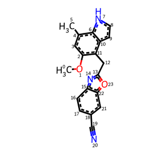 COc1cc(C)c2[nH]ccc2c1Cc1nc2ccc(C#N)cc2o1